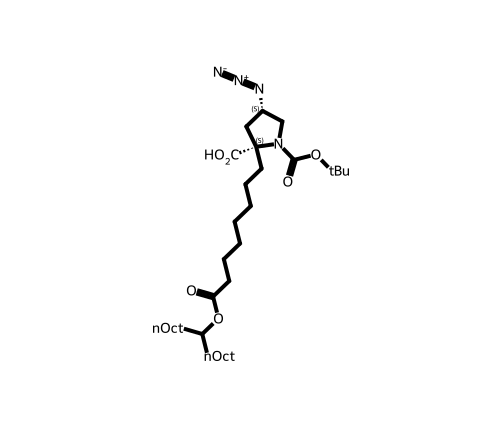 CCCCCCCCC(CCCCCCCC)OC(=O)CCCCCCC[C@@]1(C(=O)O)C[C@H](N=[N+]=[N-])CN1C(=O)OC(C)(C)C